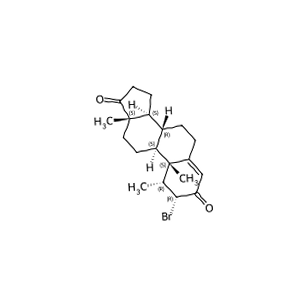 C[C@H]1[C@@H](Br)C(=O)C=C2CC[C@@H]3[C@H](CC[C@]4(C)C(=O)CC[C@@H]34)[C@]21C